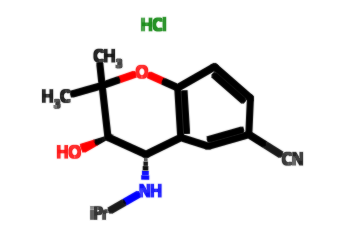 CC(C)N[C@H]1c2cc(C#N)ccc2OC(C)(C)[C@@H]1O.Cl